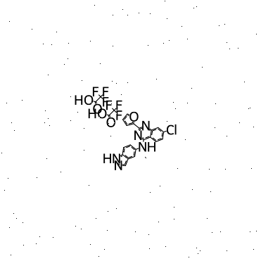 Clc1ccc2c(Nc3ccc4[nH]ncc4c3)nc(-c3ccco3)nc2c1.O=C(O)C(F)(F)F.O=C(O)C(F)(F)F